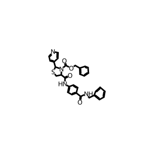 O=C(NCc1ccccc1)c1ccc(NC(=O)C2CSC(c3ccncc3)N2C(=O)OCc2ccccc2)cc1